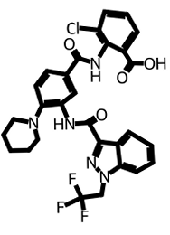 O=C(Nc1c(Cl)cccc1C(=O)O)c1ccc(N2CCCCC2)c(NC(=O)c2nn(CC(F)(F)F)c3ccccc23)c1